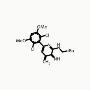 C=C1C=C(c2c(Cl)c(OC)cc(OC)c2Cl)N=C(NCC(C)(C)C)C1=N